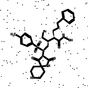 Cc1ccc(S(=O)(=O)N(C[C@H](CC(C)C)[C@H](CCCc2ccccc2)C(=O)NO)N2C(=O)NC3(CCNCC3)C2=O)cc1